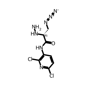 [N-]=[N+]=NC[C@@H](NN)C(=O)Nc1ccc(Cl)nc1Cl